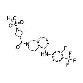 CS(=O)(=O)N1CC(C(=O)N2CCc3c(cccc3Nc3ccc(C(F)(F)F)c(F)c3)C2)C1